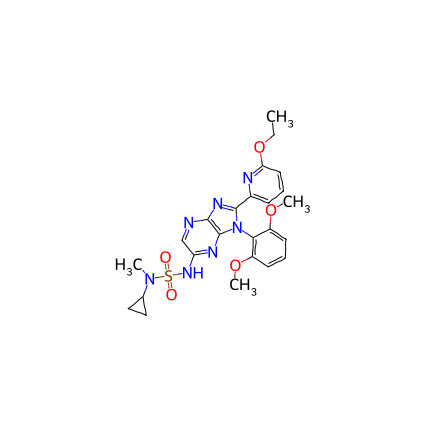 CCOc1cccc(-c2nc3ncc(NS(=O)(=O)N(C)C4CC4)nc3n2-c2c(OC)cccc2OC)n1